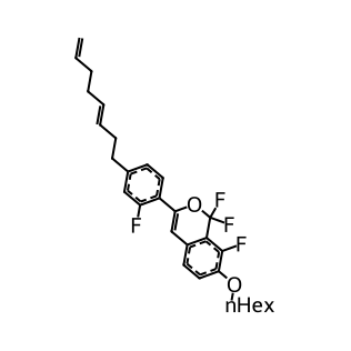 C=CCC/C=C/CCc1ccc(C2=Cc3ccc(OCCCCCC)c(F)c3C(F)(F)O2)c(F)c1